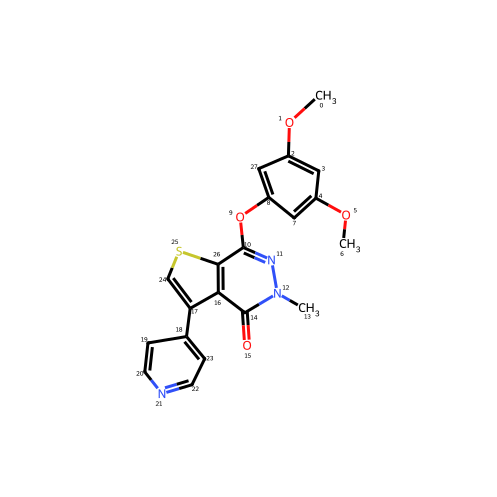 COc1cc(OC)cc(Oc2nn(C)c(=O)c3c(-c4ccncc4)csc23)c1